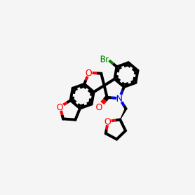 O=C1N(C[C@H]2CCCO2)c2cccc(Br)c2C12COc1cc3c(cc12)CCO3